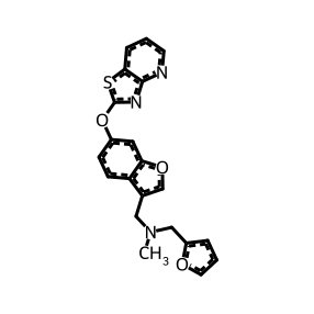 CN(Cc1ccco1)Cc1coc2cc(Oc3nc4ncccc4s3)ccc12